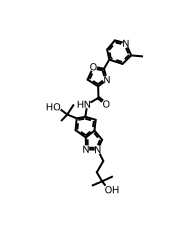 Cc1cc(-c2nc(C(=O)Nc3cc4cn(CCC(C)(C)O)nc4cc3C(C)(C)O)co2)ccn1